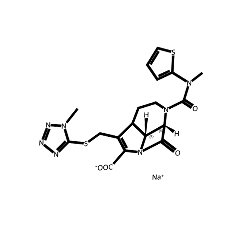 CN(C(=O)N1CCC2C(CSc3nnnn3C)=C(C(=O)[O-])N3C(=O)[C@@H]1[C@@H]23)c1cccs1.[Na+]